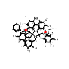 NCCNCC(Cc1c(Br)c(Br)c(Br)c(Br)c1Br)(Cc1c(Br)c(Br)c(Br)c(Br)c1Br)N(Cc1c(Br)c(Br)c(Br)c(Br)c1Br)C(Cc1c(Br)c(Br)c(Br)c(Br)c1Br)(Cc1c(Br)c(Br)c(Br)c(Br)c1Br)C(Cl)(Cl)N(Cl)Cc1ccccc1